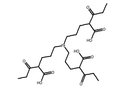 CCC(=O)C(CC[CH2][Fe]([CH2]CCC(C(=O)O)C(=O)CC)[CH2]CCC(C(=O)O)C(=O)CC)C(=O)O